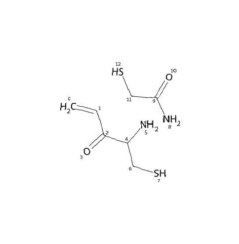 C=CC(=O)C(N)CS.NC(=O)CS